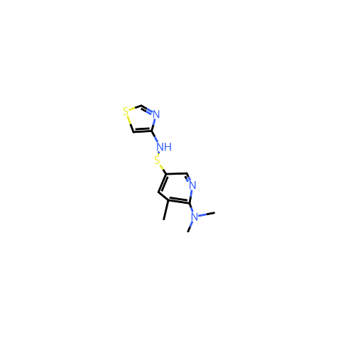 Cc1cc(SNc2cscn2)cnc1N(C)C